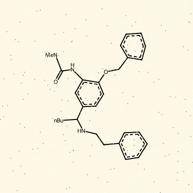 CCCCC(NCCc1ccccc1)c1ccc(OCc2ccccc2)c(NC(=O)NC)c1